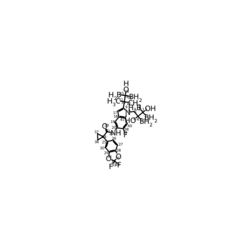 BC(B)(O)C(B)(O)Cn1c(C(C)(C)C(B)(B)O)cc2cc(NC(=O)C3(c4ccc5c(c4)OC(F)(F)O5)CC3)c(F)cc21